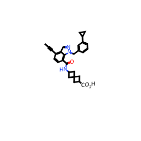 CC#Cc1ccc(C(=O)NC2CC3(C2)CC(C(=O)O)C3)c2c1cnn2Cc1cccc(C2CC2)c1